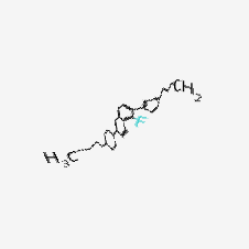 C=CCCc1ccc(-c2ccc3cc(C4CCC(CCCCC)CC4)ccc3c2F)cc1